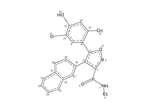 CCNC(=O)c1noc(-c2cc(Cl)c(O)cc2O)c1-c1ccc2ccccc2c1